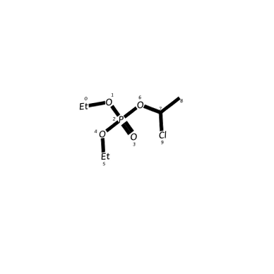 CCOP(=O)(OCC)OC(C)Cl